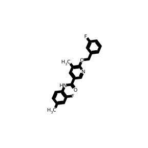 Cc1ccc(NC(=O)c2cnc(OCc3cccc(F)c3)c(C)c2)c(F)c1